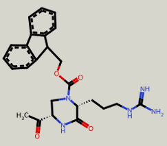 CC(=O)[C@@H]1CN(C(=O)OCC2c3ccccc3-c3ccccc32)[C@H](CCCNC(=N)N)C(=O)N1